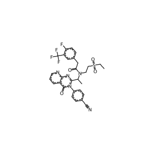 CCS(=O)(=O)CCN(C(=O)Cc1ccc(F)c(C(F)(F)F)c1)C(C)c1nc2ncccc2c(=O)n1-c1ccc(C#N)cc1